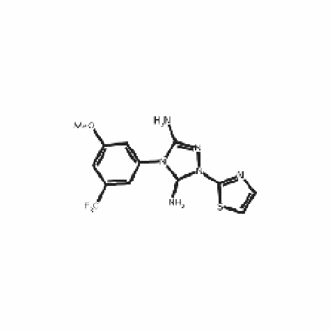 COc1cc(N2C(N)=NN(c3nccs3)C2N)cc(C(F)(F)F)c1